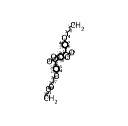 C=CCCCOc1ccc(C2=c3cc4c(cc3OC2=O)=C(c2ccc(OCCCOOCC=C)cc2)C(=O)O4)cc1